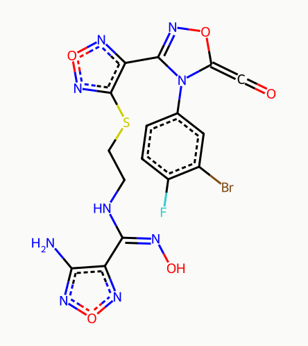 Nc1nonc1C(=NO)NCCSc1nonc1C1=NOC(=C=O)N1c1ccc(F)c(Br)c1